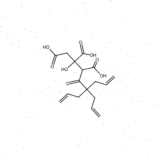 C=CCC(CC=C)(CC=C)C(=O)C(C(=O)O)C(O)(CC(=O)O)C(=O)O